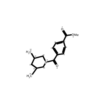 COC(=O)c1ccc(C(=O)N2CC(C)CC(C)C2)cc1